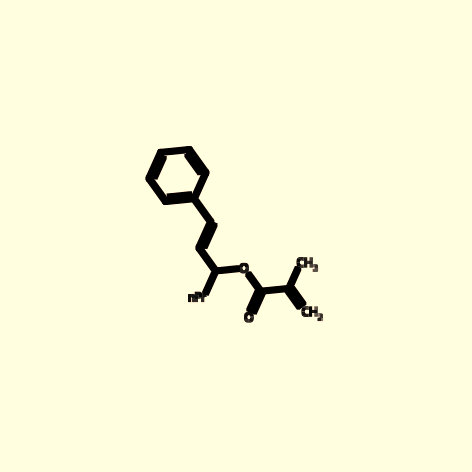 C=C(C)C(=O)OC(C=Cc1ccccc1)CCC